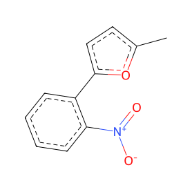 Cc1ccc(-c2ccccc2[N+](=O)[O-])o1